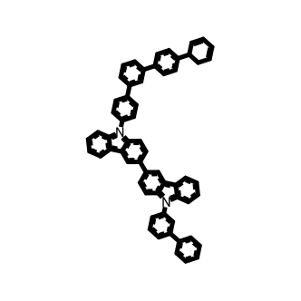 C1=CCC(c2ccc(-c3cccc(-c4ccc(-n5c6ccccc6c6cc(-c7ccc8c(c7)c7ccccc7n8-c7cccc(-c8ccccc8)c7)ccc65)cc4)c3)cc2)C=C1